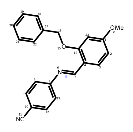 COc1ccc(/C=N/c2ccc(C#N)cc2)c(OCc2ccccc2)c1